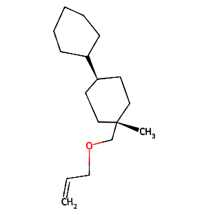 C=CCOC[C@]1(C)CC[C@@H](C2CCCCC2)CC1